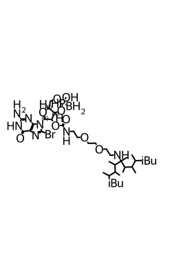 B[PH]1(O)OC[C@H]2O[C@@H](n3c(Br)nc4c(=O)[nH]c(N)nc43)C(OC(=O)NCCOCCOCCNC(C)(C(C)C(C)C(C)C(C)CC)C(C)C(C)C(C)C(C)CC)[C@@H]2O1